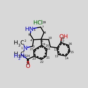 CN(C)CC1CNCCC1(CCc1ccccc1O)c1cccc(C(N)=O)c1.Cl